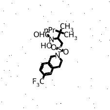 CCCC(C)(C)C(CS(=O)(=O)N1CCc2cc(C(F)(F)F)ccc2C1)N(O)C=O